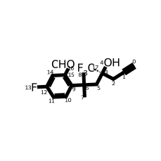 C#CC[C@](O)(CC(C)(C)c1ccc(F)cc1C=O)C(F)(F)F